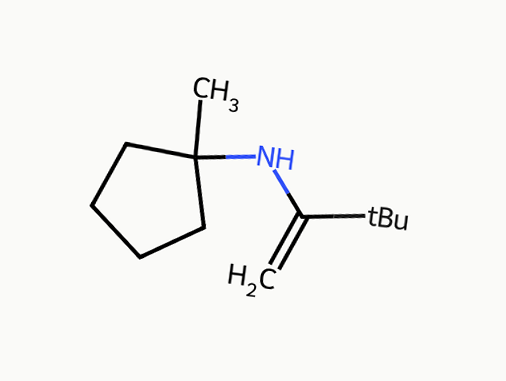 C=C(NC1(C)CCCC1)C(C)(C)C